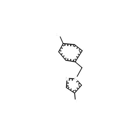 CCc1ccc(Cn2cc(C(C)C)cn2)cc1